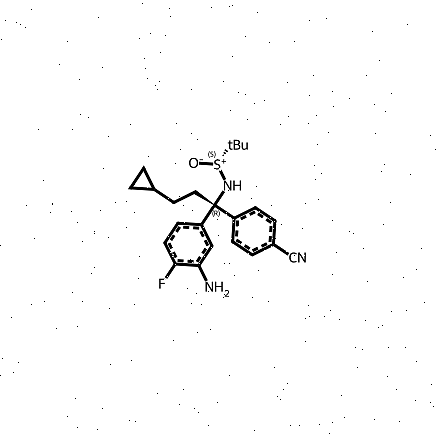 CC(C)(C)[S@@+]([O-])N[C@](CCC1CC1)(c1ccc(C#N)cc1)c1ccc(F)c(N)c1